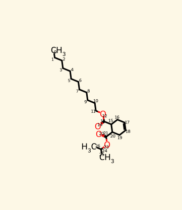 CCCCCCCCCCCCOC(=O)C1CC=CCC1C(=O)OC(C)C